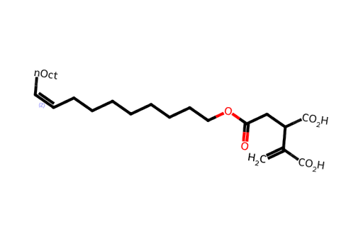 C=C(C(=O)O)C(CC(=O)OCCCCCCCC/C=C\CCCCCCCC)C(=O)O